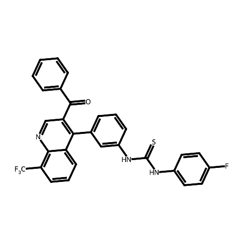 O=C(c1ccccc1)c1cnc2c(C(F)(F)F)cccc2c1-c1cccc(NC(=S)Nc2ccc(F)cc2)c1